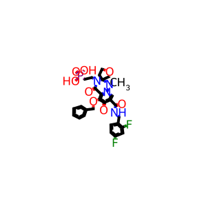 CN1n2cc(C(=O)NCc3ccc(F)cc3F)c(=O)c(OCc3ccccc3)c2C(=O)N(CCP(=O)(O)O)C12CCOC2